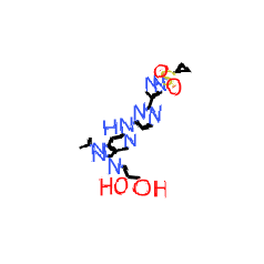 CC(C)n1nc(N(C)CC(O)CO)c2cnc(Nc3ccnc(-c4cnn(S(=O)(=O)C5CC5)c4)n3)cc21